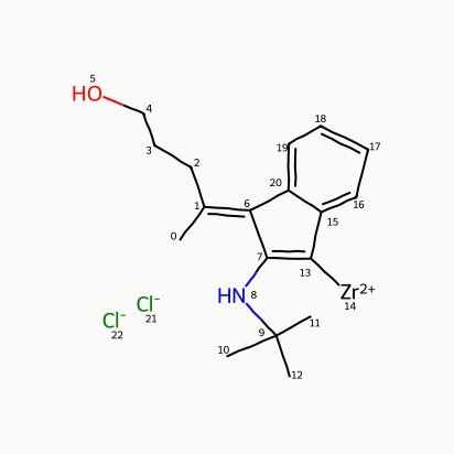 CC(CCCO)=C1C(NC(C)(C)C)=[C]([Zr+2])c2ccccc21.[Cl-].[Cl-]